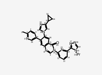 Cc1ccc(-c2cc3ncn(-c4cccc(-c5nncn5C(C)C)n4)c(=O)c3cc2-n2cnc(C3CC3)c2)cn1